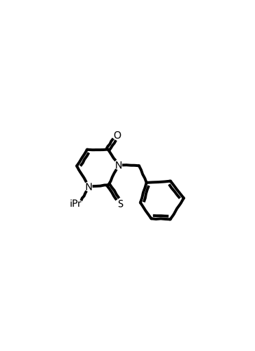 CC(C)n1ccc(=O)n(Cc2ccccc2)c1=S